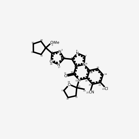 COC1(c2nc(-c3ncn4c3c(=O)n(C3(C)CCCO3)c3c(C#N)c(Cl)ccc34)no2)CCCC1